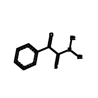 CCN(CC)C(=S)C(=O)c1ccccc1